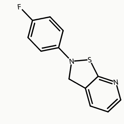 Fc1ccc(N2Cc3cccnc3S2)cc1